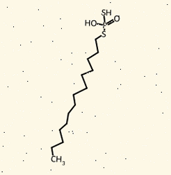 CCCCCCCCCCCCCCSP(=O)(O)S